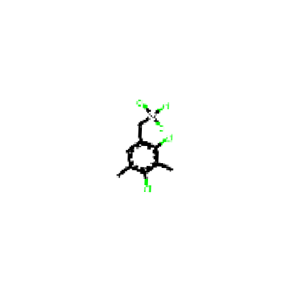 Cc1cc(C[Si](Cl)(Cl)Cl)c(Cl)c(C)c1Cl